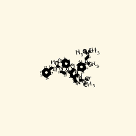 Cc1cccc2c1N(C(=O)OCc1ccccc1)CCN2c1cc2cnc([S+](C)[O-])nc2n(-c2ccc(N(C)CCN(C)C)cc2)c1=O